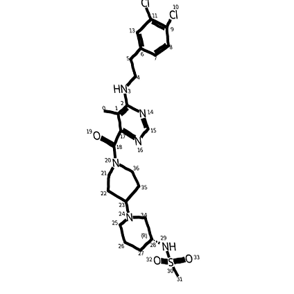 Cc1c(NCCc2ccc(Cl)c(Cl)c2)ncnc1C(=O)N1CCC(N2CCC[C@@H](NS(C)(=O)=O)C2)CC1